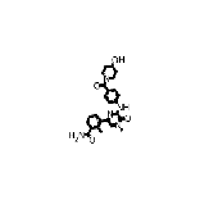 Cc1c(C(N)=O)cccc1-c1cn(C)c(=O)c(Nc2ccc(C(=O)N3CCC(O)CC3)cc2)n1